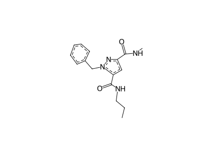 CCCNC(=O)c1cc(C(=O)NC)nn1Cc1ccccc1